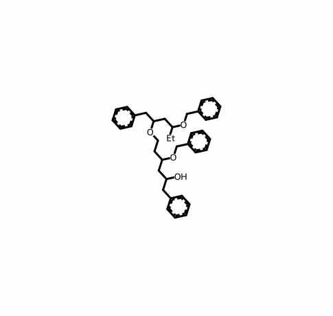 CCC(CC(Cc1ccccc1)OCCC(CC(O)Cc1ccccc1)OCc1ccccc1)OCc1ccccc1